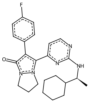 C[C@H](Nc1nccc(-c2c(-c3ccc(F)cc3)c(=O)n3n2CCC3)n1)C1CCCCC1